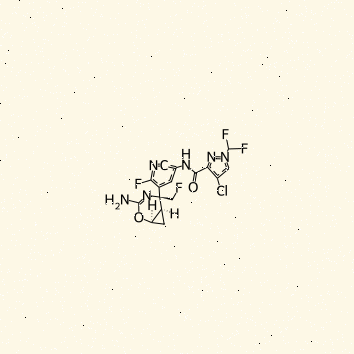 NC1=N[C@](CF)(c2cc(NC(=O)c3nn(C(F)F)cc3Cl)cnc2F)[C@H]2C[C@H]2O1